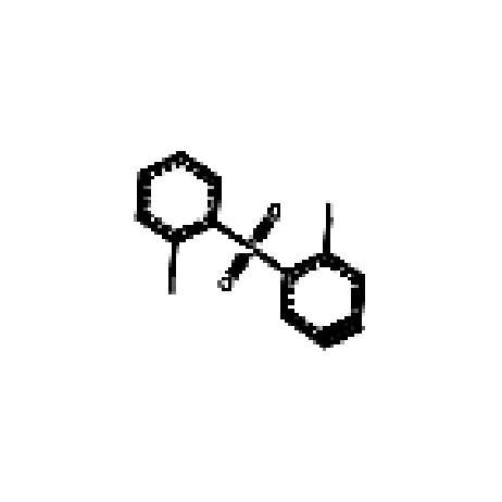 O=S(=O)(c1cc#ccc1I)c1ccccc1I